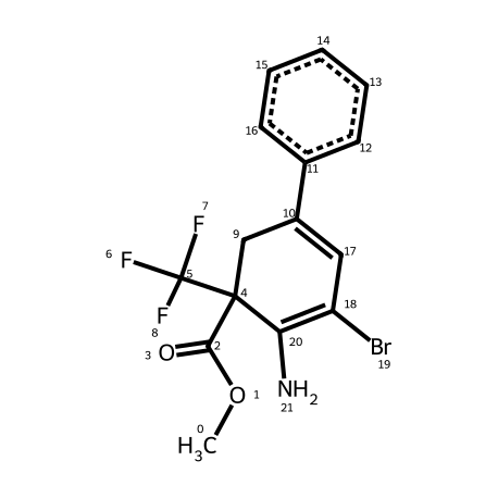 COC(=O)C1(C(F)(F)F)CC(c2ccccc2)=CC(Br)=C1N